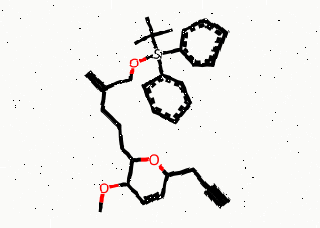 C#CCC1C=CC(OC)C(CCCC(=C)CO[Si](c2ccccc2)(c2ccccc2)C(C)(C)C)O1